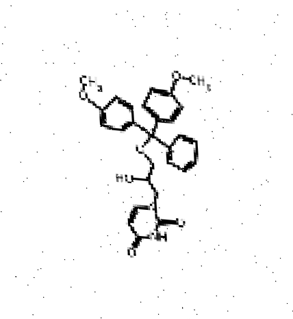 COc1ccc(C(OCC(O)Cn2ccc(=O)[nH]c2=O)(c2ccccc2)c2ccc(OC)cc2)cc1